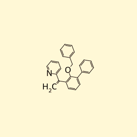 C=C(c1ccccn1)c1cccc(-c2ccccc2)c1OCc1ccccc1